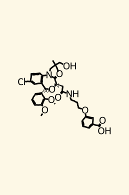 COc1cccc([C@H]2O[C@H](CC(=O)NCCCOc3cccc(C(=O)O)c3)C(=O)N(CC(C)(C)CO)c3ccc(Cl)cc32)c1OC